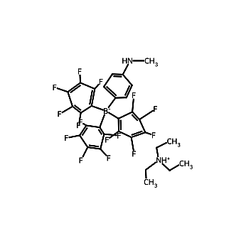 CC[NH+](CC)CC.CNc1ccc([B-](c2c(F)c(F)c(F)c(F)c2F)(c2c(F)c(F)c(F)c(F)c2F)c2c(F)c(F)c(F)c(F)c2F)cc1